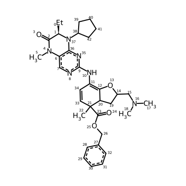 CC[C@@H]1C(=O)N(C)c2cnc(NC3=C4OC(CN(C)C)CC4C(C)(C(=O)OCc4ccccc4)C=C3)nc2N1C1CCCC1